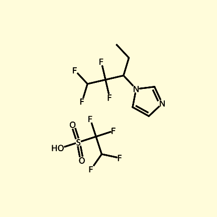 CCC(n1ccnc1)C(F)(F)C(F)F.O=S(=O)(O)C(F)(F)C(F)F